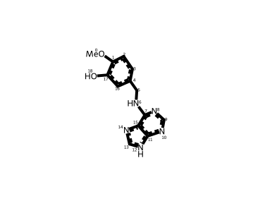 COc1ccc(CNc2ncnc3[nH]cnc23)cc1O